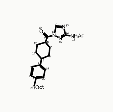 CCCCCCCCc1ccc(C2CCC(C(=O)n3cnc(NC(C)=O)n3)CC2)cc1